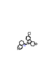 CN1CCc2c(c3cc(Cl)ccc3n2/C=C2\CCCc3cnccc32)C1